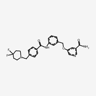 NC(=O)c1cncc(OCc2cccc(NC(=O)c3ccc(CN4CCC(F)(F)CC4)cc3)c2)c1